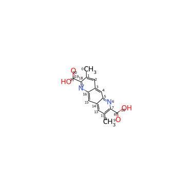 Cc1cc2cc3nc(C(=O)O)c(C)cc3cc2nc1C(=O)O